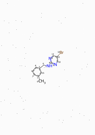 Cc1cccc(CNc2ncc(Br)cn2)c1